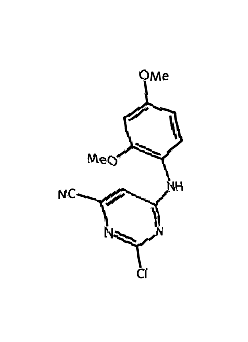 COc1ccc(Nc2cc(C#N)nc(Cl)n2)c(OC)c1